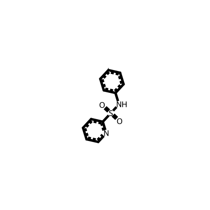 O=S(=O)(Nc1cc[c]cc1)c1ccccn1